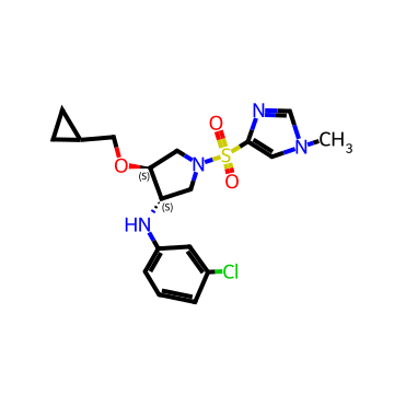 Cn1cnc(S(=O)(=O)N2C[C@H](Nc3cccc(Cl)c3)[C@@H](OCC3CC3)C2)c1